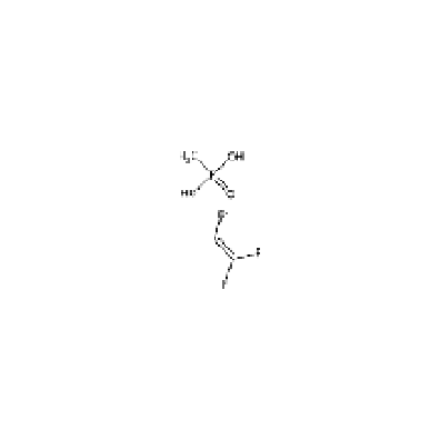 CP(=O)(O)O.FC(F)=CBr